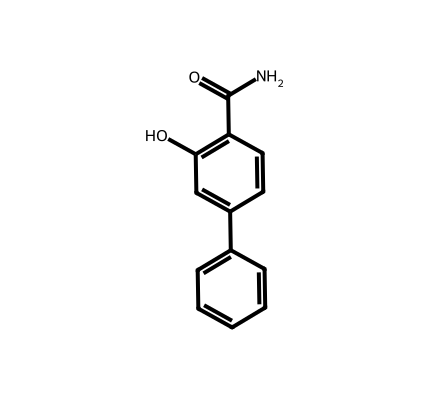 NC(=O)c1ccc(-c2ccccc2)cc1O